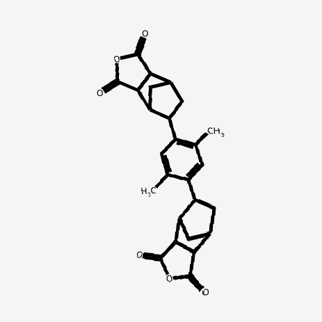 Cc1cc(C2CC3CC2C2C(=O)OC(=O)C32)c(C)cc1C1CC2CC1C1C(=O)OC(=O)C21